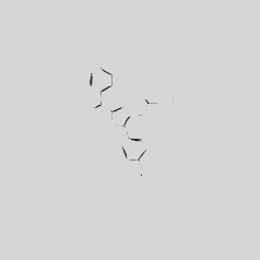 COc1ccc(-c2sc(C(=O)c3ccccc3)cc2CC(=O)O)cc1